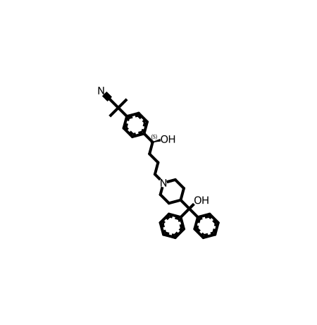 CC(C)(C#N)c1ccc([C@@H](O)CCCN2CCC(C(O)(c3ccccc3)c3ccccc3)CC2)cc1